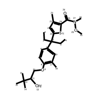 CCC(CC)(c1ccc(OCC(O)C(C)(C)C)c(C)c1)c1cc(C)c(C(=O)N(C)OC)s1